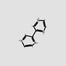 c1cnc(-c2cnccn2)cn1